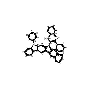 C1=CCC(C2=C(n3c4c(c5cc6ccccc6cc53)=CC3c5ccccc5N(c5ccccc5)C3C=4)NC3C=CC=CC3=N2)C=C1